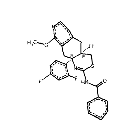 COc1nccc2c1C[C@]1(c3ccc(F)cc3F)N=C(NC(=O)c3ccccc3)SC[C@@H]1C2